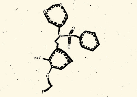 N#Cc1c(CN(c2cncnc2)S(=O)(=O)c2ccccc2)cccc1OCF